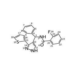 O=C(NC(c1ccccc1)c1c[nH]nc1-c1cccs1)c1ccccc1F